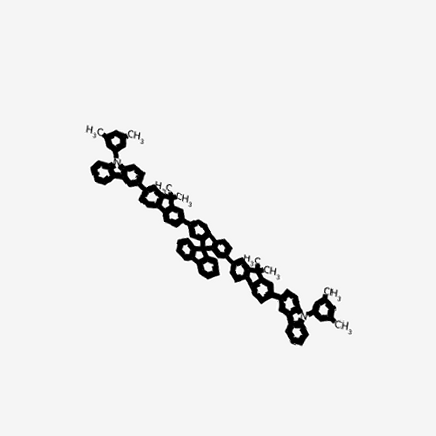 Cc1cc(C)cc(-n2c3ccccc3c3cc(-c4ccc5c(c4)C(C)(C)c4cc(-c6ccc7c(c6)C6(c8ccccc8-c8ccccc86)c6cc(-c8ccc9c(c8)C(C)(C)c8cc(-c%10ccc%11c(c%10)c%10ccccc%10n%11-c%10cc(C)cc(C)c%10)ccc8-9)ccc6-7)ccc4-5)ccc32)c1